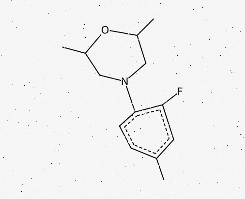 Cc1ccc(N2CC(C)OC(C)C2)c(F)c1